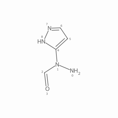 NN(C=O)c1ccn[nH]1